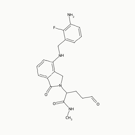 CNC(=O)C(CCC=O)N1Cc2c(NCc3cccc(N)c3F)cccc2C1=O